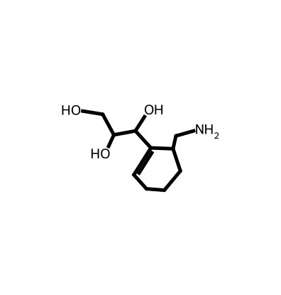 NCC1CCCC=C1C(O)C(O)CO